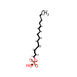 CCCC/C=C/CCCCCCCCOS(=O)(=O)O